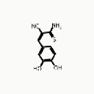 N#CC(=Cc1ccc(O)c(O)c1)C(N)=S